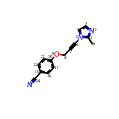 Cc1nccn1C#CCOc1ccc(C#N)cc1